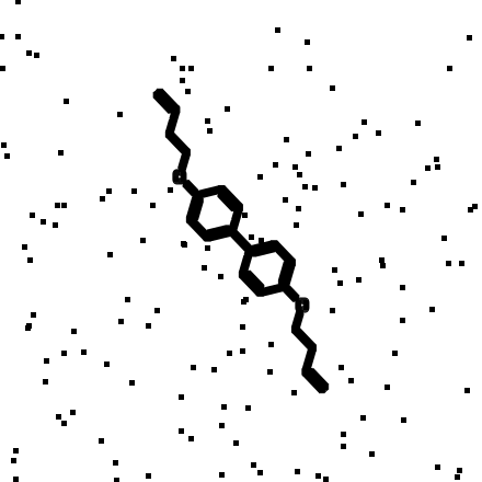 C=CCCOc1ccc(-c2ccc(OCCC=C)cc2)cc1